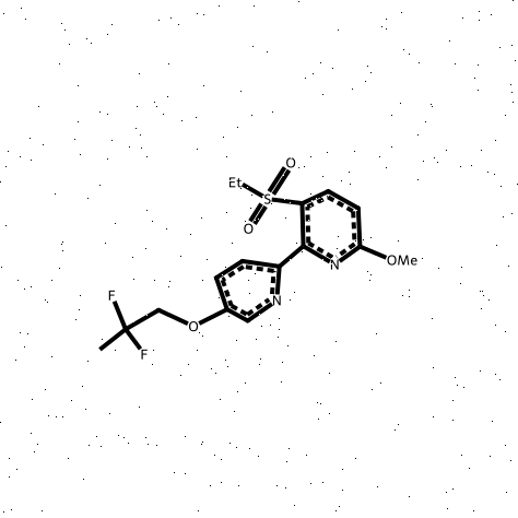 CCS(=O)(=O)c1ccc(OC)nc1-c1ccc(OCC(C)(F)F)cn1